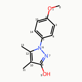 COc1ccc(-n2nc(O)c(C)c2C)cc1